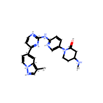 CCNC1CCN(c2ccc(Nc3nccc(-c4ccn5ncc(C(C)C)c5c4)n3)nc2)C(=O)C1